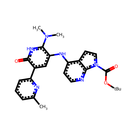 Cc1cccc(-c2cc(Nc3ccnc4c3ccn4C(=O)OC(C)(C)C)c(N(C)C)[nH]c2=O)n1